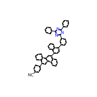 N#Cc1ccc(-c2cc3c4ccccc4c(-c4ccc(-c5cccc(-c6nc(-c7ccccc7)nc(-c7ccccc7)n6)c5)c5ccccc45)cc3c3ccccc23)cc1